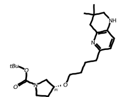 CC1(C)CNc2ccc(CCCCO[C@@H]3CCN(C(=O)OC(C)(C)C)C3)nc2C1